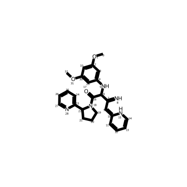 COc1cc(NC(C(=N)/C=C2/C=CC=CN2)C(=O)N2CCCC2c2ccccn2)cc(OC)c1